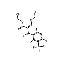 CCOC=C(C(=O)OCC)C(=O)c1c(F)cc(F)c(C(F)(F)F)c1F